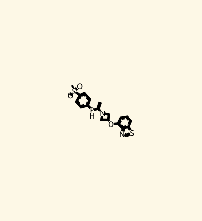 C=C(Pc1ccc(S(C)(=O)=O)cc1)N1CC(Oc2cccc3scnc23)C1